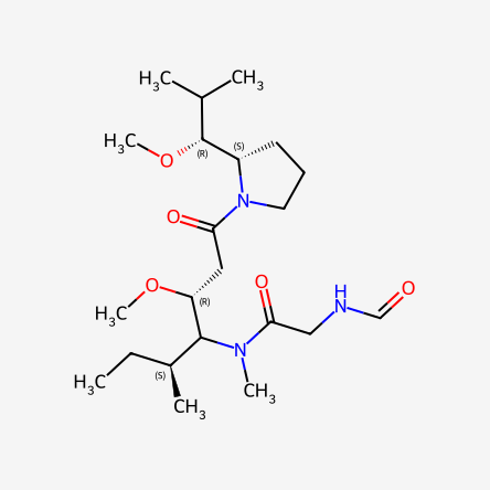 CC[C@H](C)C([C@@H](CC(=O)N1CCC[C@H]1[C@H](OC)C(C)C)OC)N(C)C(=O)CNC=O